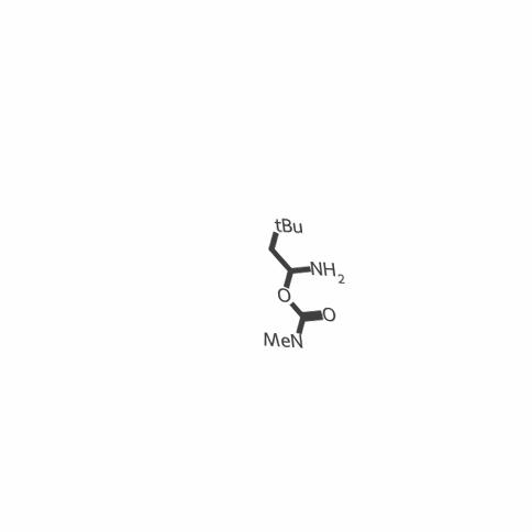 CNC(=O)OC(N)CC(C)(C)C